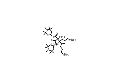 CCCCCCCCCCCCCC(C)C(CCCCCCCCCCCCC)(C(=O)O)C(C(=O)O)(C(=O)OC1CC(C)(C)N(C)C(C)(C)C1)C(=O)OC1CC(C)(C)N(C)C(C)(C)C1